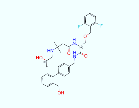 C[C@@H](O)CNC(C)(C)CC(=O)N[C@H](COCc1c(F)cccc1F)C(=O)NCc1ccc(-c2ccccc2CO)cc1